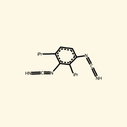 CC(C)c1ccc(N=C=N)c(C(C)C)c1N=C=N